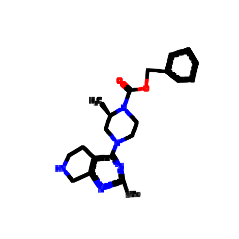 CSc1nc2c(c(N3CCN(C(=O)OCc4ccccc4)[C@H](C)C3)n1)CCNC2